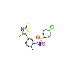 Cc1nc(C)c(-c2ccc(C)c(NS(=O)(=O)c3ccc(Cl)cc3)c2)s1